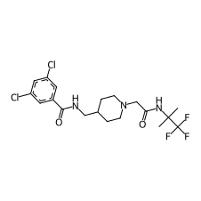 CC(C)(NC(=O)CN1CCC(CNC(=O)c2cc(Cl)cc(Cl)c2)CC1)C(F)(F)F